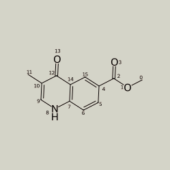 COC(=O)c1ccc2[nH]cc(C)c(=O)c2c1